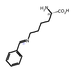 N[C@@H](CCCC/N=C/c1ccccc1)C(=O)O